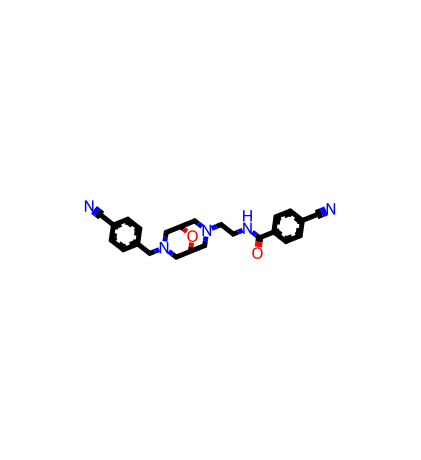 N#Cc1ccc(CN2CC3CN(CCNC(=O)c4ccc(C#N)cc4)CC(C2)O3)cc1